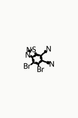 N#Cc1c(Br)c(Br)c2nnsc2c1C#N